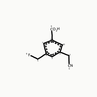 N#CCc1cc(CF)cc(C(=O)O)c1